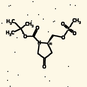 CC(C)(C)OC(=O)N1CC(=O)C[C@@H]1COS(C)(=O)=O